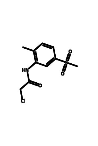 Cc1ccc(S(C)(=O)=O)cc1NC(=O)CCl